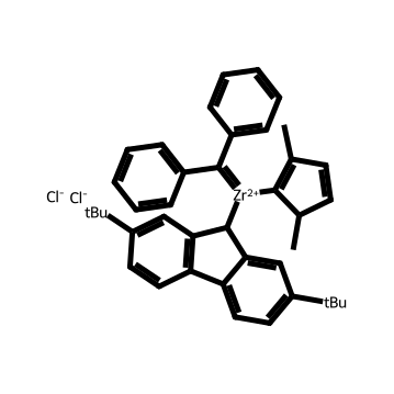 CC1=[C]([Zr+2](=[C](c2ccccc2)c2ccccc2)[CH]2c3cc(C(C)(C)C)ccc3-c3ccc(C(C)(C)C)cc32)C(C)C=C1.[Cl-].[Cl-]